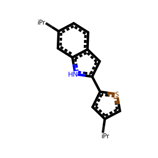 CC(C)c1csc(-c2cc3ccc(C(C)C)cc3[nH]2)c1